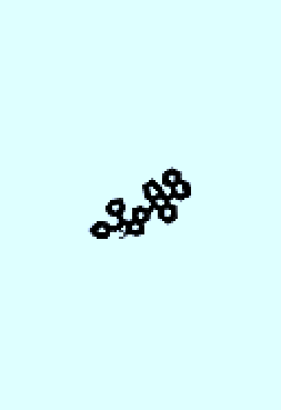 c1ccc(-c2oc3ccc4cc(-c5c6ccccc6c(-c6cccc7ccccc67)c6ccccc56)ccc4c3c2-c2ccccc2)cc1